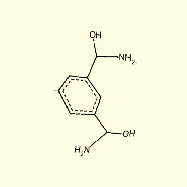 NC(O)c1c[c]cc(C(N)O)c1